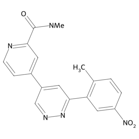 CNC(=O)c1cc(-c2cnnc(-c3cc([N+](=O)[O-])ccc3C)c2)ccn1